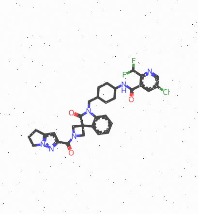 O=C(NC1CCC(CN2C(=O)C3(CN(C(=O)c4cc5n(n4)CCC5)C3)c3ccccc32)CC1)c1cc(Cl)cnc1C(F)F